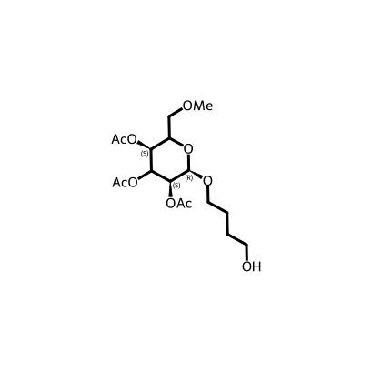 COCC1O[C@@H](OCCCCO)[C@@H](OC(C)=O)C(OC(C)=O)[C@H]1OC(C)=O